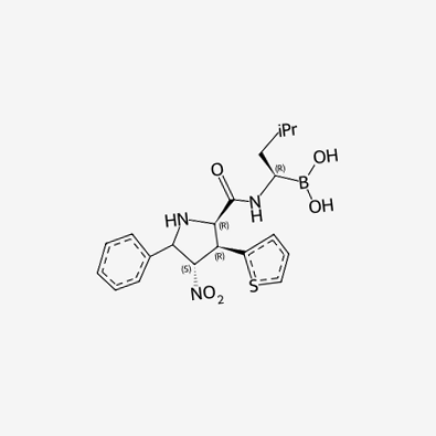 CC(C)C[C@H](NC(=O)[C@@H]1NC(c2ccccc2)[C@@H]([N+](=O)[O-])[C@@H]1c1cccs1)B(O)O